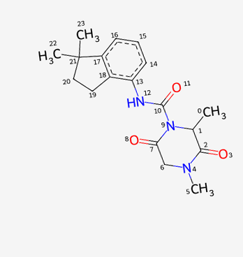 CC1C(=O)N(C)CC(=O)N1C(=O)Nc1cccc2c1CCC2(C)C